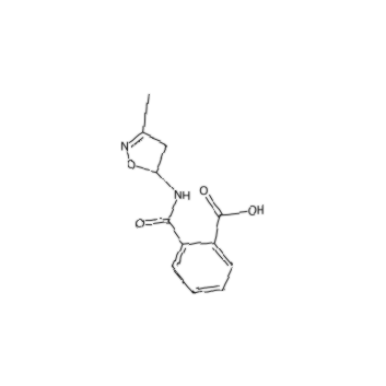 CC1=NOC(NC(=O)c2ccccc2C(=O)O)C1